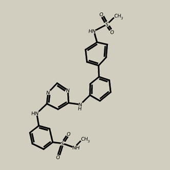 CNS(=O)(=O)c1cccc(Nc2cc(Nc3cccc(-c4ccc(NS(C)(=O)=O)cc4)c3)ncn2)c1